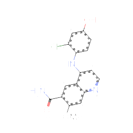 COc1cc2nccc(Nc3ccc(O)cc3Cl)c2cc1C(N)=O